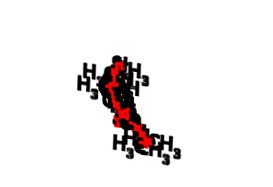 Cc1ncsc1-c1ccc([C@@H](C)NC(=O)[C@H]2C[C@H](O)CN2C(=O)[C@@H](NC(=O)CCCC(=O)N2CCN(CC[C@H](CSc3ccccc3)Nc3ccc(S(=O)(=O)NC(=O)c4ccc(N5CCN(CC6=C(C78CC(C)(C7)C8)CC(C)(C)CC6)CC5)cc4)cc3S(=O)(=O)C(F)(F)F)CC2)C(C)(C)C)cc1